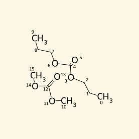 CCCOC(=O)OCCC.COC(=O)OC